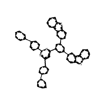 c1ccc(-c2ccc(-c3cc(-c4cc(-c5ccc6sc7ccccc7c6c5)cc(-c5ccc6sc7ccccc7c6c5)c4)nc(-c4ccc(-c5ccccc5)cc4)n3)cc2)cc1